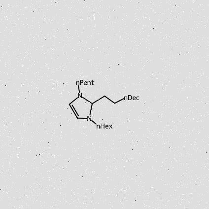 CCCCCCCCCCCCC1N(CCCCC)C=CN1CCCCCC